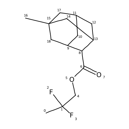 CC(F)(F)COC(=O)C1C2CC3CC1CC(C)(C3)C2